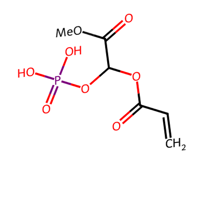 C=CC(=O)OC(OP(=O)(O)O)C(=O)OC